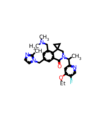 CCOc1cc(C(C)N2CC3(CC3)c3c(CN(C)C)cc(Cn4ccnc4C)cc3C2=O)ncc1F